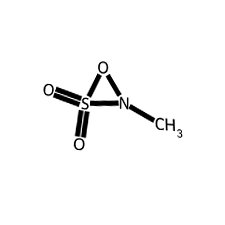 CN1OS1(=O)=O